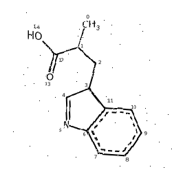 CC(CC1C=Nc2ccccc21)C(=O)O